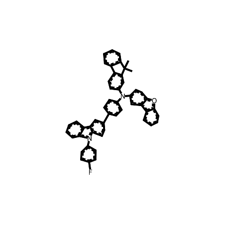 CC1(C)c2ccccc2-c2ccc(N(c3ccc(-c4ccc5c(c4)c4ccccc4n5-c4ccc(F)cc4)cc3)c3ccc4oc5ccccc5c4c3)cc21